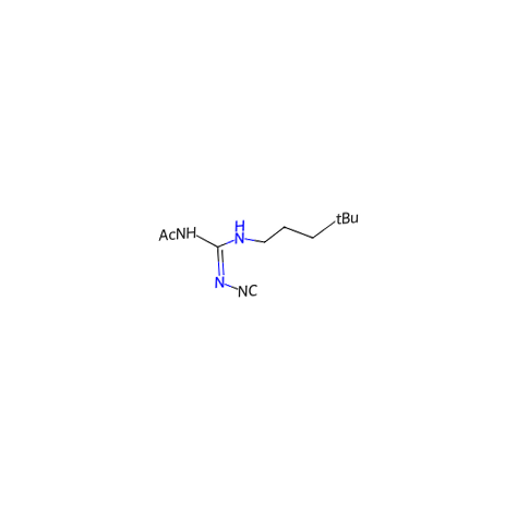 [C-]#[N+]/N=C(\NCCCC(C)(C)C)NC(C)=O